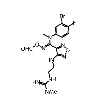 CNC(=N)NCCNc1nonc1/C(=N/OC=O)N(C)c1ccc(F)c(Br)c1